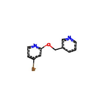 Brc1ccnc(OCc2cccnc2)c1